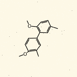 COc1ccc(-c2cc(C)ccc2OC)cc1C